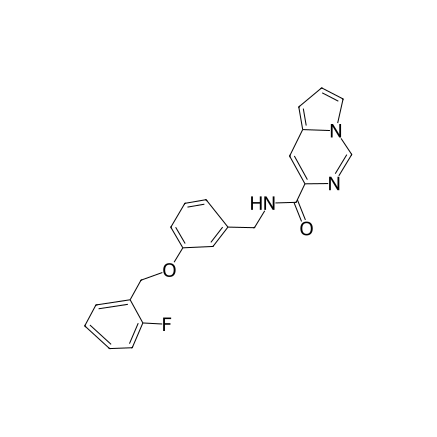 O=C(NCc1cccc(OCc2ccccc2F)c1)c1cc2cccn2cn1